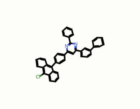 Clc1c2ccccc2c(-c2ccc(-c3cc(-c4cccc(-c5ccccc5)c4)nc(-c4ccccc4)n3)cc2)c2ccccc12